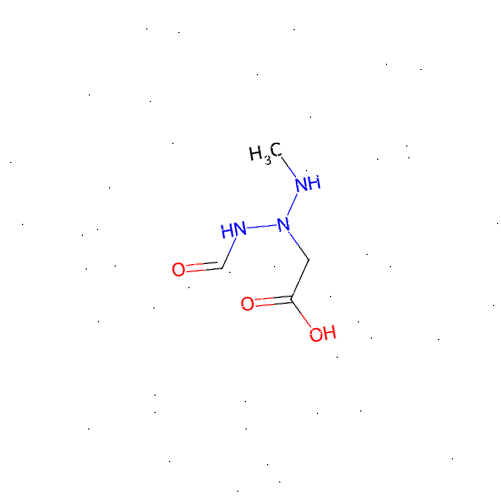 CNN(CC(=O)O)NC=O